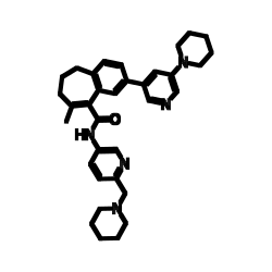 CC1=C(C(=O)Nc2ccc(CN3CCCCC3)nc2)c2cc(-c3cncc(N4CCCCC4)c3)ccc2CCC1